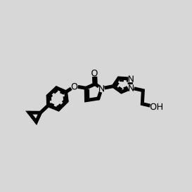 O=C1C(Oc2ccc(C3CC3)cc2)=CCN1c1cnn(CCO)c1